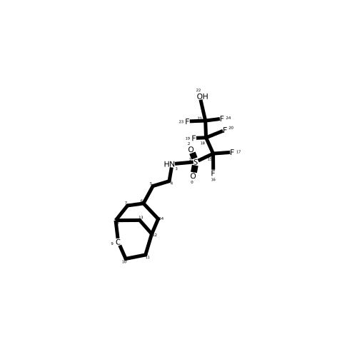 O=S(=O)(NCCC1CC2CCCC(C2)C1)C(F)(F)C(F)(F)C(O)(F)F